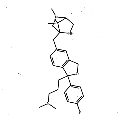 CN(C)CCCC1(c2ccc(F)cc2)OCc2cc(CC34CN(C)C(CN3)C4(C)C)ccc21